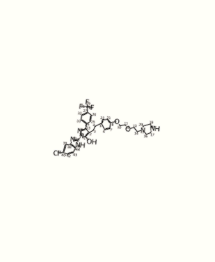 Oc1c(CCc2ccc(OCCOCCN3CCNCC3)cc2)c(-c2ccc(C(F)(F)F)cc2)nn1-c1nc2cc(Cl)ccc2[nH]1